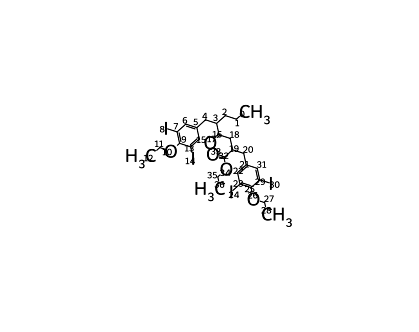 CCCC(Cc1cc(I)c(OCC)c(I)c1)C(=O)CC(Cc1cc(I)c(OCC)c(I)c1)C(=O)OCC